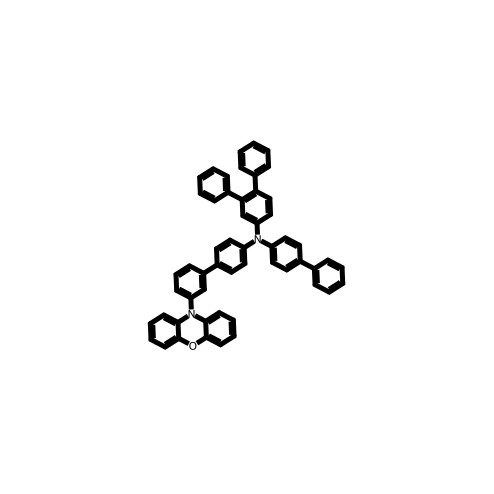 c1ccc(-c2ccc(N(c3ccc(-c4cccc(N5c6ccccc6Oc6ccccc65)c4)cc3)c3ccc(-c4ccccc4)c(-c4ccccc4)c3)cc2)cc1